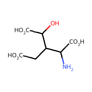 NC(C(=O)O)C(CC(=O)O)C(O)C(=O)O